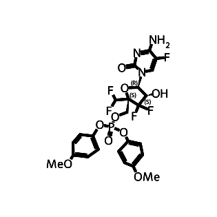 COc1ccc(OP(=O)(OC[C@@]2(C(F)F)O[C@@H](n3cc(F)c(N)nc3=O)[C@H](O)C2(F)F)Oc2ccc(OC)cc2)cc1